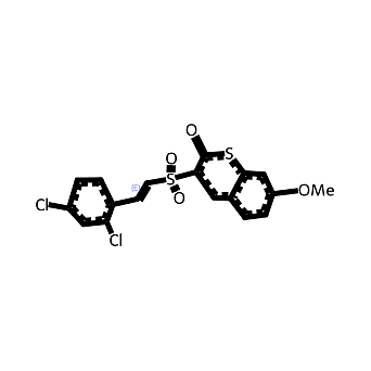 COc1ccc2cc(S(=O)(=O)/C=C/c3ccc(Cl)cc3Cl)c(=O)sc2c1